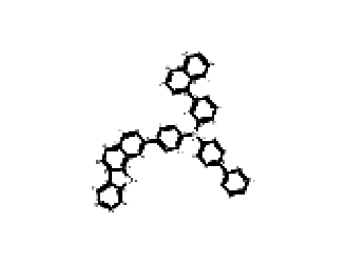 c1ccc(-c2ccc(N(c3ccc(-c4ccc5ccc6c7ccccc7oc6c5c4)cc3)c3cccc(-c4cccc5ccccc45)c3)cc2)cc1